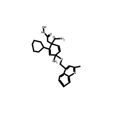 Cc1cc(COC2(N)C=CC(CC(=O)NO)(C(N)=O)C(C3CCCCC3)=C2)c2ccccc2n1